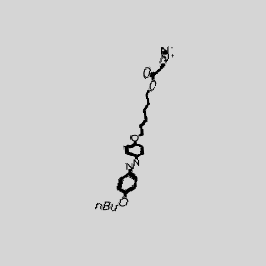 CCCCOc1ccc(/N=N/c2ccc(OCCCCCCOC(=O)C=[N+]=[N-])cc2)cc1